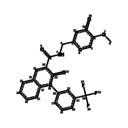 COc1coc(CNC(=O)c2cc3ccccc3n(-c3cccc(C(F)(F)F)c3)c2=O)cc1=O